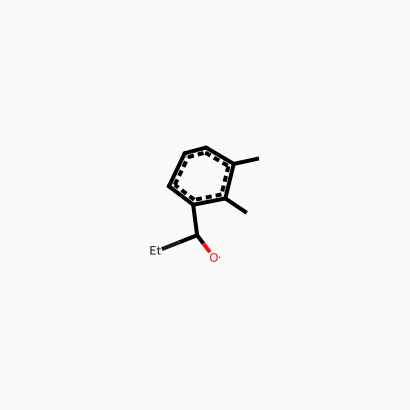 CCC([O])c1cccc(C)c1C